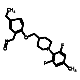 CCc1ccc(OCC2CCN(c3c(F)cc(C)cc3F)CC2)c(CN=O)c1